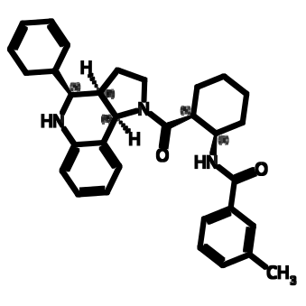 Cc1cccc(C(=O)N[C@@H]2CCCC[C@@H]2C(=O)N2CC[C@@H]3[C@H](C4C=CC=CC4)Nc4ccccc4[C@@H]32)c1